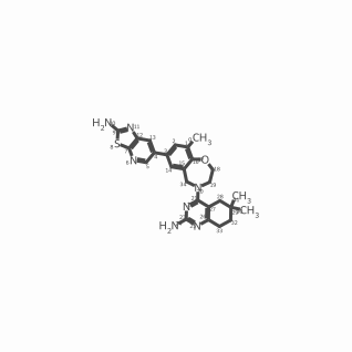 Cc1cc(-c2cnc3sc(N)nc3c2)cc2c1OCCN(c1nc(N)nc3c1CC(C)(C)CC3)C2